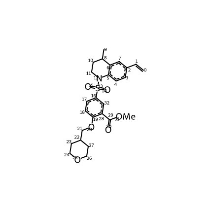 C=Cc1ccc2c(c1)C(C)CCN2S(=O)(=O)c1ccc(OCC2CCOCC2)c(C(=O)OC)c1